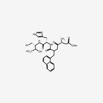 COC(=O)CN(C)C(=O)CC(Cc1cccc2ccccc12)C(=O)N[C@@H](Cc1c[nH]cn1)C(=O)N[C@@H](CC(C)C)C(O)C(=O)O